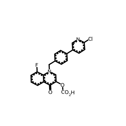 O=C(O)Oc1cn(Cc2ccc(-c3ccc(Cl)nc3)cc2)c2c(F)cccc2c1=O